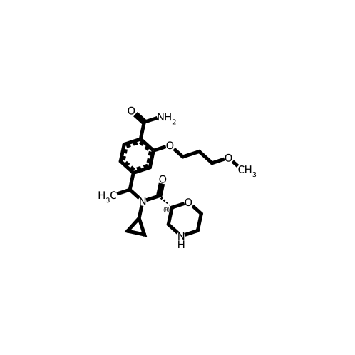 COCCCOc1cc(C(C)N(C(=O)[C@H]2CNCCO2)C2CC2)ccc1C(N)=O